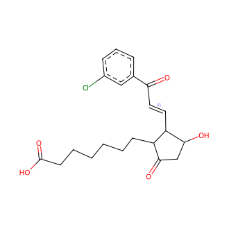 O=C(O)CCCCCCC1C(=O)CC(O)C1/C=C/C(=O)c1cccc(Cl)c1